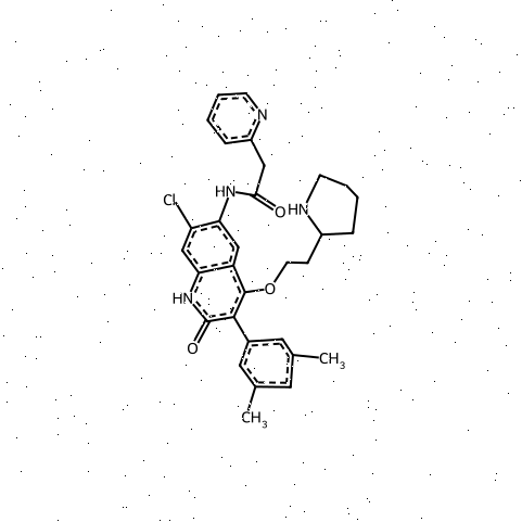 Cc1cc(C)cc(-c2c(OCCC3CCCCN3)c3cc(NC(=O)Cc4ccccn4)c(Cl)cc3[nH]c2=O)c1